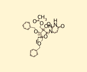 CC(=O)OC[C@]1(O)[C@H](OCc2ccccc2)[C@@](CF)(COCc2ccccc2)O[C@H]1n1ccc(=O)[nH]c1=O